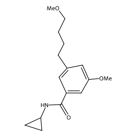 COCCCCc1cc(OC)cc(C(=O)NC2CC2)c1